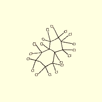 [O]C1(Cl)C(Cl)(Cl)C(Cl)(Cl)C(Cl)(Cl)C2(Cl)C(Cl)(Cl)C(Cl)(Cl)C(Cl)(Cl)C(Cl)(Cl)C12Cl